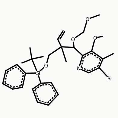 C=CC(C)(CO[Si](c1ccccc1)(c1ccccc1)C(C)(C)C)C(OCOC)c1ncc(Br)c(C)c1OC